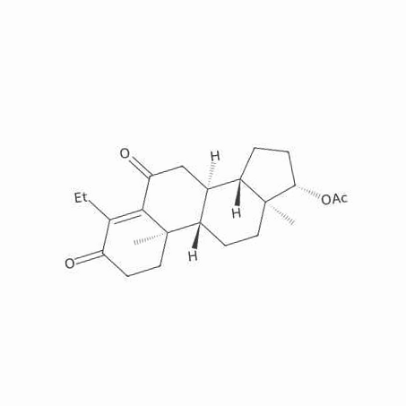 CCC1=C2C(=O)C[C@H]3[C@@H]4CC[C@H](OC(C)=O)[C@@]4(C)CC[C@@H]3[C@@]2(C)CCC1=O